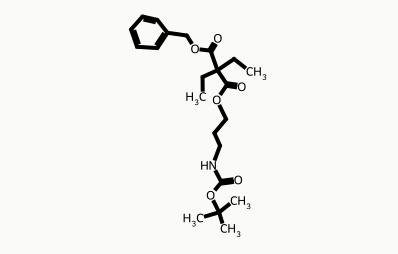 CCC(CC)(C(=O)OCCCNC(=O)OC(C)(C)C)C(=O)OCc1ccccc1